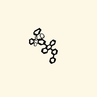 c1ccc(-c2cccc(-c3c4ccccc4c(-c4cc5c6c(c4)Oc4ccccc4B6c4ccccc4O5)c4ccccc34)c2)cc1